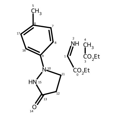 CCOC(=O)C=N.CCOC(C)=O.Cc1ccc(N2CCC(=O)N2)cc1